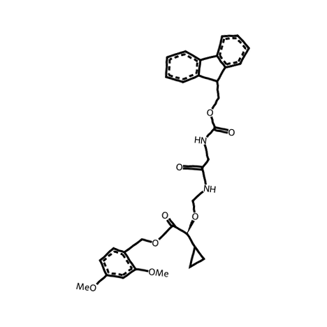 COc1ccc(COC(=O)[C@@H](OCNC(=O)CNC(=O)OCC2c3ccccc3-c3ccccc32)C2CC2)c(OC)c1